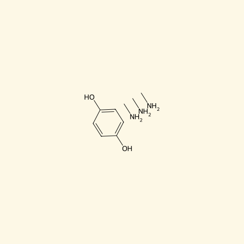 CN.CN.CN.Oc1ccc(O)cc1